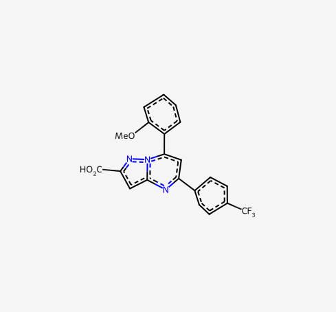 COc1ccccc1-c1cc(-c2ccc(C(F)(F)F)cc2)nc2cc(C(=O)O)nn12